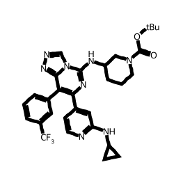 CC(C)(C)OC(=O)N1CCCC(Nc2nc(-c3ccnc(NC4CC4)c3)c(-c3cccc(C(F)(F)F)c3)c3nncn23)C1